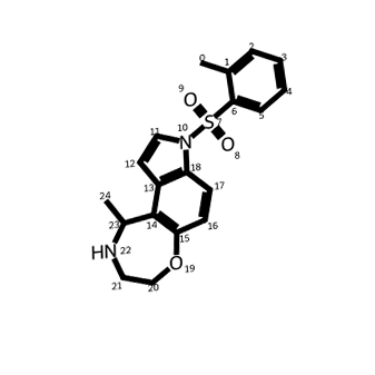 Cc1ccccc1S(=O)(=O)n1ccc2c3c(ccc21)OCCNC3C